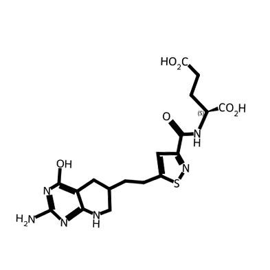 Nc1nc(O)c2c(n1)NCC(CCc1cc(C(=O)N[C@@H](CCC(=O)O)C(=O)O)ns1)C2